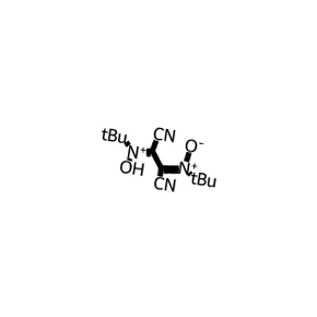 CC(C)(C)/[N+]([O-])=C(C#N)/C(C#N)=[N+](\O)C(C)(C)C